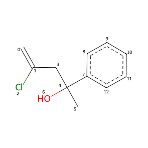 C=C(Cl)CC(C)(O)c1ccccc1